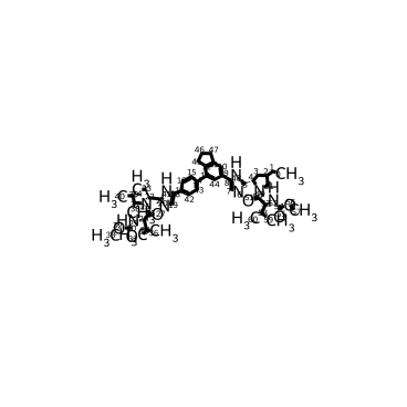 CCC1C[C@@H](c2ncc(-c3cc4c(c(-c5ccc(-c6cnc([C@H](CC)N(C(=O)[C@@H](NC(=O)OC)C(C)C)C(C)CC)[nH]6)cc5)c3)CCC4)[nH]2)N(C(=O)[C@@H](NC(=O)OC)C(C)C)C1